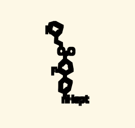 CCCCCCCc1ccc(-c2ccc(C(=O)OCCc3ccccn3)cc2F)cc1